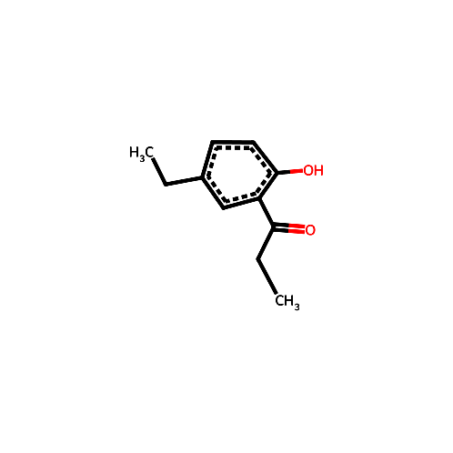 CCC(=O)c1cc(CC)ccc1O